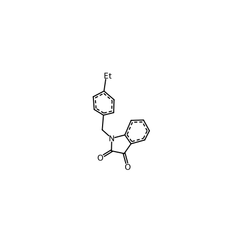 CCc1ccc(CN2C(=O)C(=O)c3ccccc32)cc1